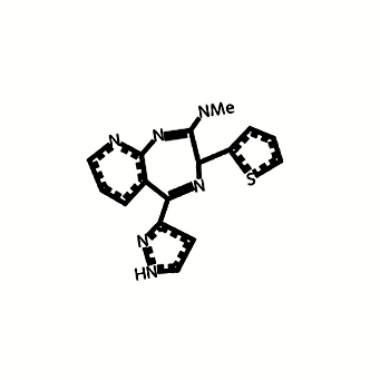 CNC1=Nc2ncccc2C(c2cc[nH]n2)=NC1c1cccs1